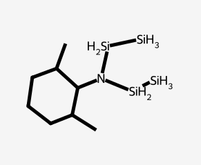 CC1CCCC(C)C1N([SiH2][SiH3])[SiH2][SiH3]